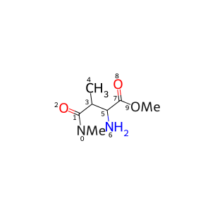 CNC(=O)C(C)C(N)C(=O)OC